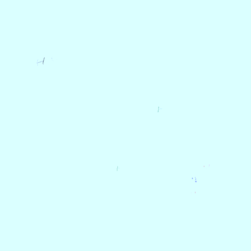 CCCc1ccc(-c2c(F)cc([N+](=O)[O-])cc2F)cc1